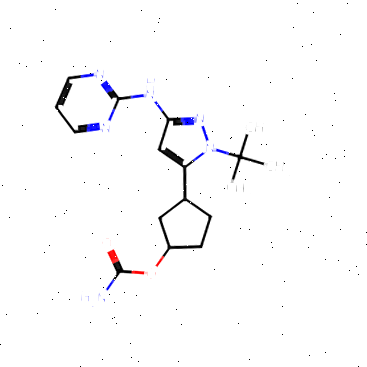 CC(C)(C)n1nc(Nc2ncccn2)cc1C1CCC(OC(N)=O)C1